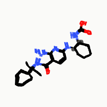 CC(C)(NC(=O)c1ccc(N[C@H]2CCCC[C@H]2NC(=O)O)nc1N)c1ccccc1